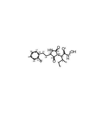 CCC(C)C(C(=O)NO)N1C(=O)NC(CCc2ccccc2F)C1=O